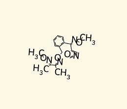 CON=C(C)C(C)=NOCc1ccccc1C(=NOC)c1cnco1